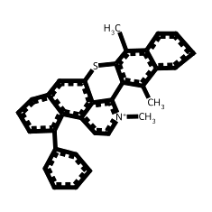 Cc1c2c(c(C)c3ccccc13)-c1c3c(cc4cccc(-c5ccccc5)c4c3cc[n+]1C)S2